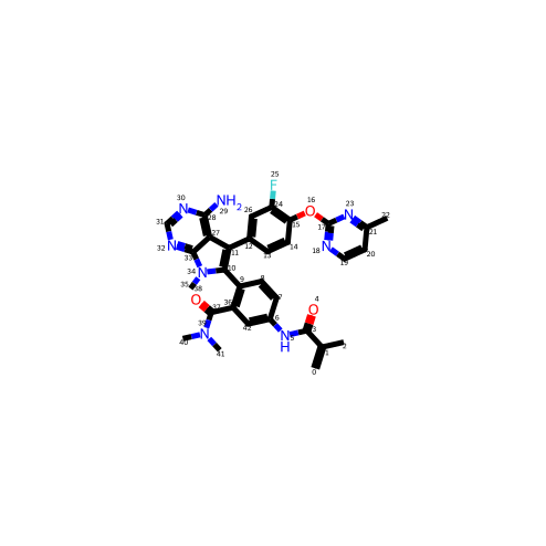 C=C(C)C(=O)Nc1ccc(-c2c(-c3ccc(Oc4nccc(C)n4)c(F)c3)c3c(N)ncnc3n2C)c(C(=O)N(C)C)c1